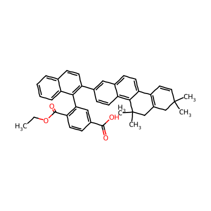 CCOC(=O)c1ccc(C(=O)O)cc1-c1c(-c2ccc3c4c(ccc3c2)C2=C(CC(C)(C)C=C2)CC4(C)C)ccc2ccccc12